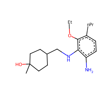 CCCc1ccc(N)c(NCC2CCC(C)(O)CC2)c1OCC